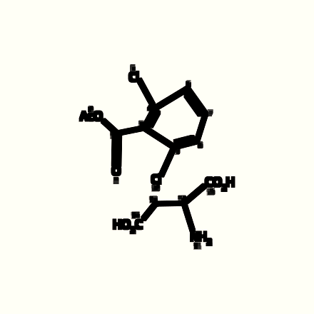 CC(=O)OC(=O)c1c(Cl)cccc1Cl.NC(CC(=O)O)C(=O)O